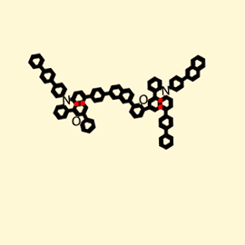 c1ccc(-c2ccc(-c3ccc(N(c4ccc(-c5ccc(-c6ccc7ccc(-c8cccc9c8oc8c(-c%10ccccc%10N(c%10ccc(-c%11ccc(-c%12ccccc%12)cc%11)cc%10)c%10ccc(-c%11ccc%12ccccc%12c%11)cc%10)cccc89)cc7c6)cc5)cc4)c4ccccc4-c4cccc5c4oc4ccccc45)cc3)cc2)cc1